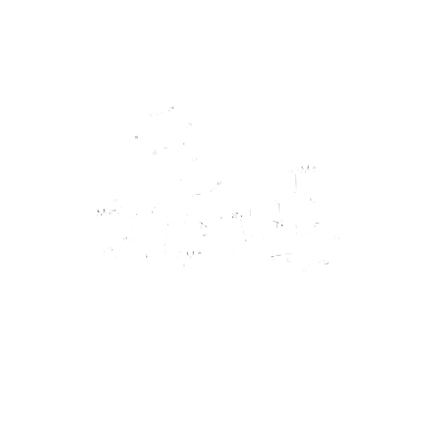 COC(=O)Cn1c(C(=O)Nc2nc(-c3cc(OC)c(Cl)cc3OC)c(CCC3CCCCC3)s2)cc2ccccc21